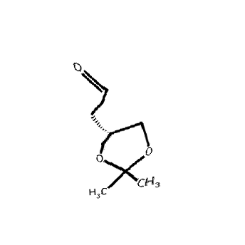 CC1(C)OC[C@@H](CC=O)O1